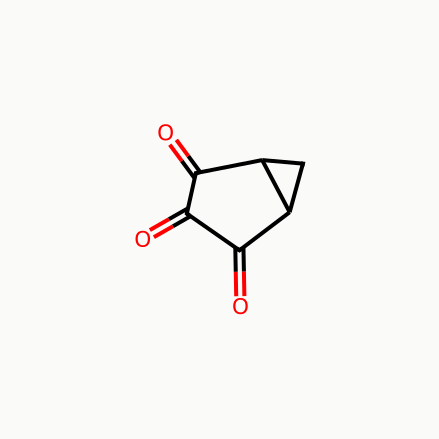 O=C1C(=O)C2CC2C1=O